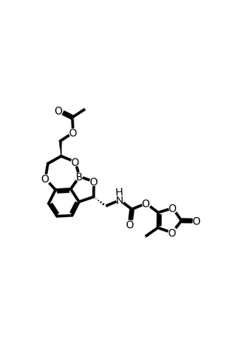 CC(=O)OC[C@@H]1COc2cccc3c2B(O1)O[C@@H]3CNC(=O)Oc1oc(=O)oc1C